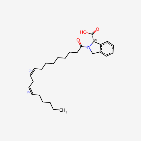 CCCCC/C=C\C/C=C\CCCCCCCC(=O)N1Cc2ccccc2[C@H]1C(=O)O